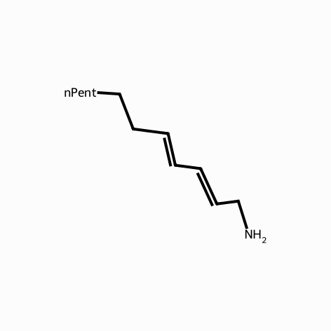 CCCCCCCC=C/C=C/CN